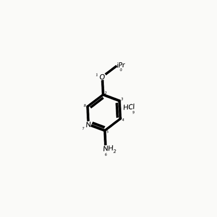 CC(C)Oc1ccc(N)nc1.Cl